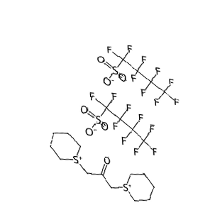 O=C(C[S+]1CCCCC1)C[S+]1CCCCC1.O=S(=O)([O-])C(F)(F)C(F)(F)C(F)(F)C(F)(F)F.O=S(=O)([O-])C(F)(F)C(F)(F)C(F)(F)C(F)(F)F